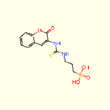 O=c1oc2ccccc2cc1NC(=S)NCCCP(=O)(O)O